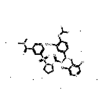 COc1cc([C@H](Cc2c(Cl)cncc2Cl)OC(=O)[C@@H]2CCCN2S(=O)(=O)c2cccc(C(=O)N(C)C)c2)ccc1OC(F)F